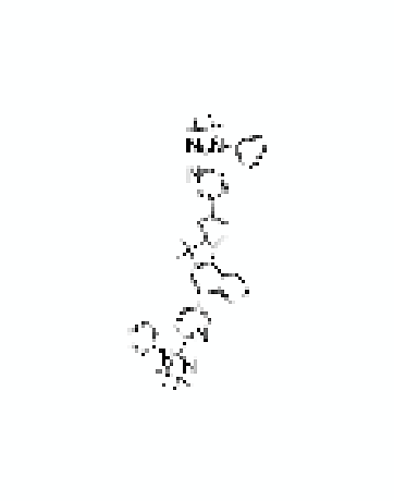 CC1(C)c2cc(-c3ccc(C4=NC(C)(C)C(C)(C)N4c4ccccc4)nc3)ccc2-c2c1cc(-c1ccc(C3=NC(C)(C)C(C)(C)N3c3ccccc3)nc1)c1ccccc21